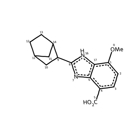 COc1ccc(C(=O)O)c2nc(C3CC4CCC3C4)[nH]c12